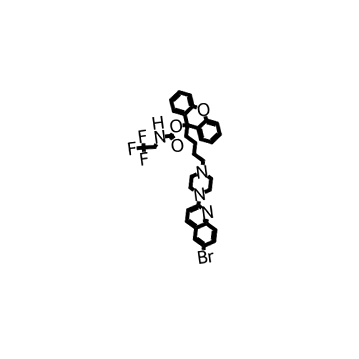 O=C(NCC(F)(F)F)OC1(CCCCN2CCN(c3ccc4cc(Br)ccc4n3)CC2)c2ccccc2Oc2ccccc21